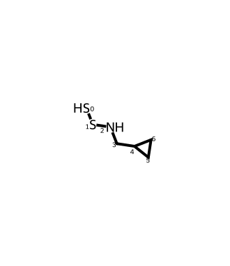 SSNCC1CC1